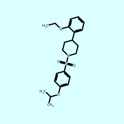 CCOc1ccccc1C1CCN(S(=O)(=O)c2ccc(OC(C)C)cc2)CC1